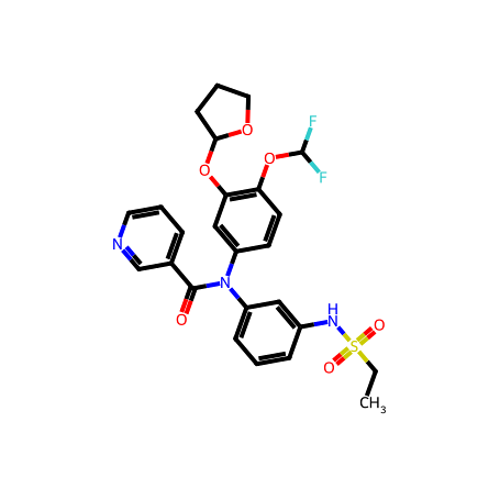 CCS(=O)(=O)Nc1cccc(N(C(=O)c2cccnc2)c2ccc(OC(F)F)c(OC3CCCO3)c2)c1